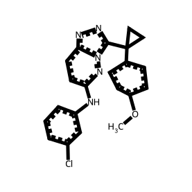 COc1ccc(C2(c3nnc4ccc(Nc5cccc(Cl)c5)nn34)CC2)cc1